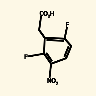 O=C(O)Cc1c(F)ccc([N+](=O)[O-])c1F